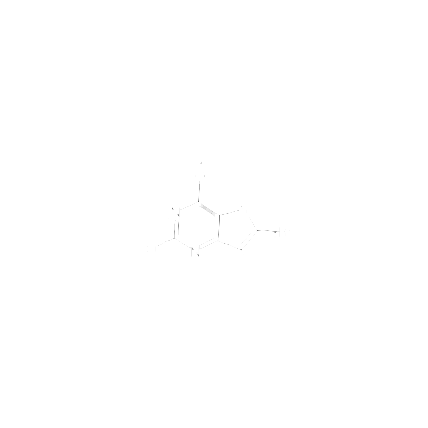 Oc1nc(O)c2sc(Br)cc2n1